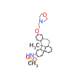 CC1(c2cccc(NS(C)(=O)=O)c2)c2ccccc2CCc2cc(OCCN3CCOCC3)ccc21